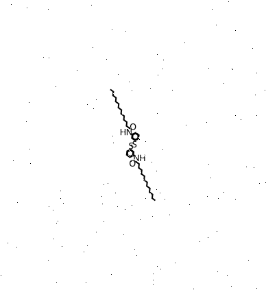 CCCCCCCCCCCCCC(=O)Nc1cccc(SSc2cccc(NC(=O)CCCCCCCCCCCCC)c2)c1